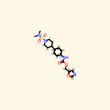 CN(C)S(=O)(=O)N1CCC(c2ccc(NC(=O)OCc3cnco3)cc2)CC1